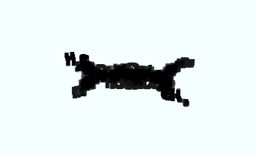 CCCCCCCCC1(CCCCCCCC)c2cc(-c3ccc(N(c4ccc(C)cc4)c4ccc(CC)cc4)cc3)ccc2-c2cc3c(cc21)-c1ccc(-c2ccc(N(c4ccc(C)cc4)c4ccc(C(C)(C)C)cc4)cc2)cc1C3(CCCCCCCC)CCCCCCCC